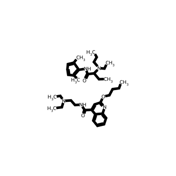 CCCCOc1cc(C(=O)NCCN(CC)CC)c2ccccc2n1.CCCN(CC)C(CC)C(=O)Nc1c(C)cccc1C